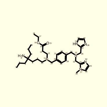 CCCC(N)(CCC)CCCN(CCC(=O)OCC)Cc1ccc(CN(Cc2ncc[nH]2)Cc2nccn2C)cc1